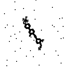 Cc1cc(-c2ccc(OC(F)(F)F)cc2)ccc1C#Cc1ccc(SC#N)c(F)c1